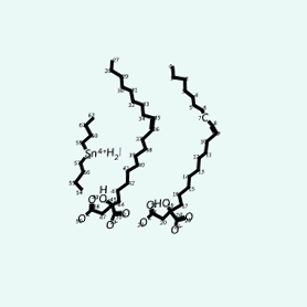 CCCCCCCC/C=C\CCCCCCCCC(O)(CC(=O)[O-])C(=O)[O-].CCCCCCCC/C=C\CCCCCCCCC(O)(CC(=O)[O-])C(=O)[O-].CCC[CH2][SnH2+4][CH2]CCC